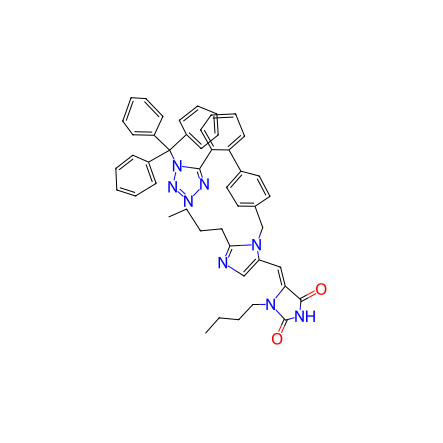 CCCCc1ncc(/C=C2/C(=O)NC(=O)N2CCCC)n1Cc1ccc(-c2ccccc2-c2nnnn2C(c2ccccc2)(c2ccccc2)c2ccccc2)cc1